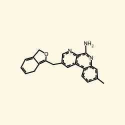 Cc1ccc2c(c1)nc(N)c1ncc(CC3=C4CC=CC=C4CO3)cc12